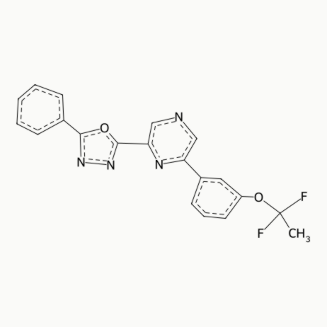 CC(F)(F)Oc1cccc(-c2cncc(-c3nnc(-c4ccccc4)o3)n2)c1